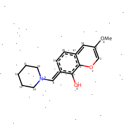 COC1=COc2c(O)c(=CN3CCCCC3)ccc2=C1